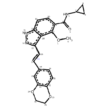 COc1c(C(=O)NC2CC2)ccc2[nH]nc(/C=C/c3ccc4c(c3)OCCO4)c12